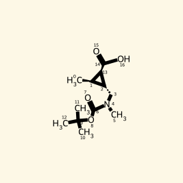 C[C@@H]1[C@@H](CN(C)C(=O)OC(C)(C)C)[C@@H]1C(=O)O